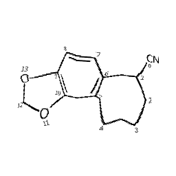 N#CC1CCCc2c1ccc1c2OCO1